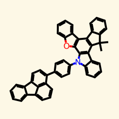 CC1(C)c2ccccc2-c2c1c1c3ccccc3n(-c3ccc(-c4ccc5c6c(cccc46)-c4ccccc4-5)cc3)c1c1oc3ccccc3c21